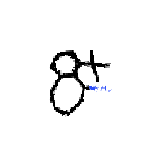 CC(C)(C)c1cccc2c1C(N)CCCC2